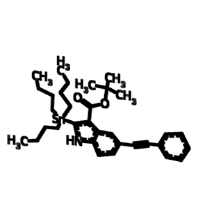 CCC[CH2][Sn]([CH2]CCC)([CH2]CCC)[c]1[nH]c2ccc(C#Cc3ccccc3)cc2c1C(=O)OC(C)(C)C